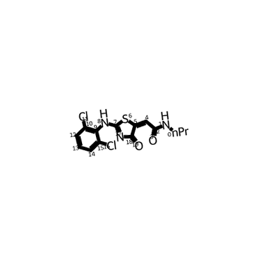 CCCNC(=O)C=C1SC(Nc2c(Cl)cccc2Cl)=NC1=O